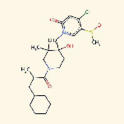 CC(CC1CCCCC1)C(=O)N1CCC(O)(Cn2cc([S+](C)[O-])c(Cl)cc2=O)C(C)(C)C1